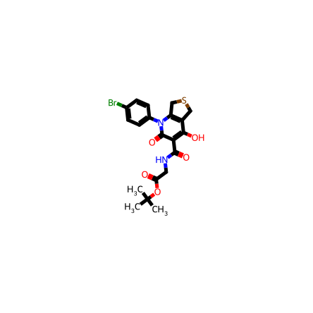 CC(C)(C)OC(=O)CNC(=O)c1c(O)c2c(n(-c3ccc(Br)cc3)c1=O)CSC2